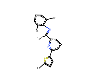 CCc1ccc(-c2cccc(/C(C)=N/c3c(C(C)C)cccc3C(C)C)n2)s1